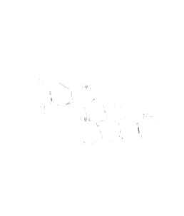 CNC[C@@H](Nc1c(COC)cnc2c(C(N)=O)cccc12)c1ccc(OC)c(OC)c1